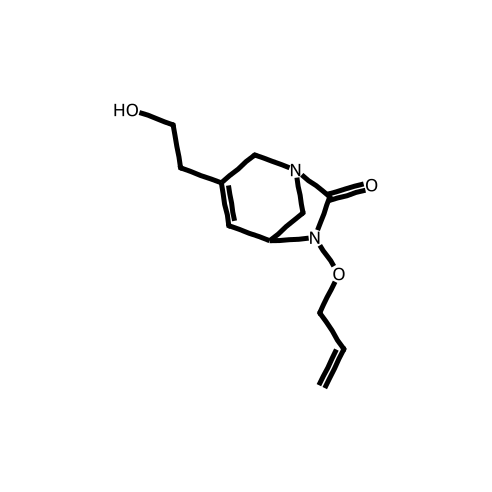 C=CCON1C(=O)N2CC(CCO)=CC1C2